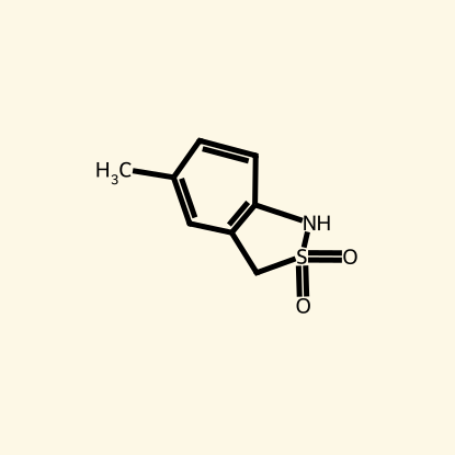 Cc1ccc2c(c1)CS(=O)(=O)N2